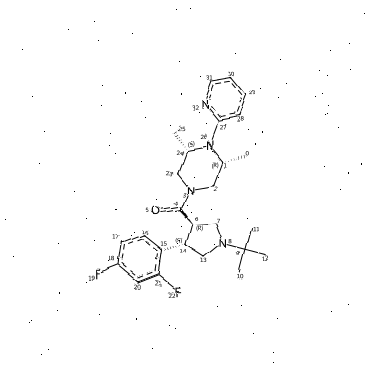 C[C@@H]1CN(C(=O)[C@H]2CN(C(C)(C)C)C[C@@H]2c2ccc(F)cc2F)C[C@H](C)N1c1ccccn1